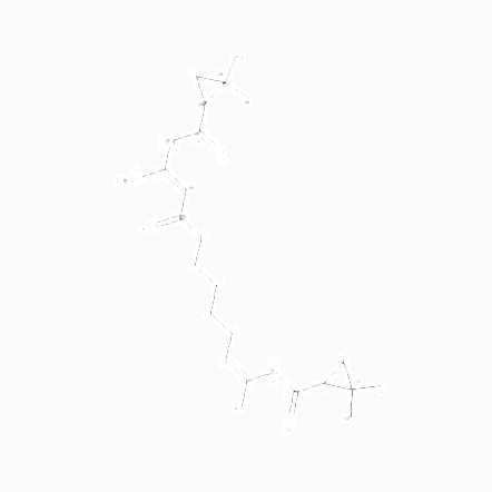 CC(=CCCCCCC(=O)C=C(C=O)NC(=O)C1CC1(C)C)NC(=O)C1CC1(C)C